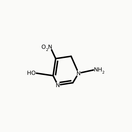 NN1C=NC(O)=C([N+](=O)[O-])C1